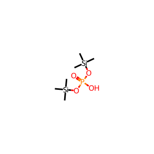 C[Si](C)(C)OP(=O)(O)O[Si](C)(C)C